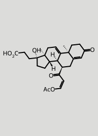 CC(=O)O/C=C\C(=O)[C@@H]1CC2=CC(=O)CC[C@]2(C)C2=CC[C@@]3(C)[C@@H](CC[C@@]3(O)CCC(=O)O)[C@@H]21